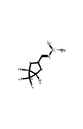 CC(C)(C)[S@@+]([O-])/N=C/C1C[C@@H]2[C@H](C1)C2(F)F